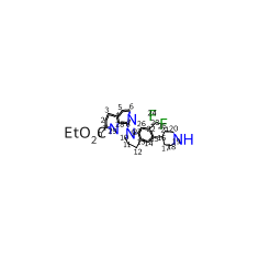 CCOC(=O)c1ccc2ccnc(N3CCCc4cc(C5CCNCC5)c(C(F)F)cc43)c2n1